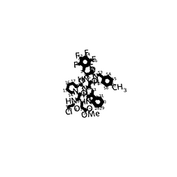 COC(=O)CC[C@H](NC(=O)CCl)C(=O)N1CCCC[C@H]1C(=O)N[C@@H](Cc1c[nH]c2ccccc12)C(=O)N[C@@H](Cc1c(F)c(F)c(F)c(F)c1F)C(=O)NCc1ccc(C)cc1